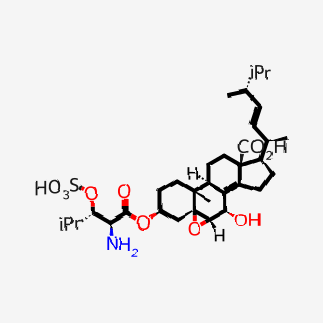 CC(C)[C@@H](C)/C=C/[C@@H](C)[C@H]1CCC2=C3[C@@H](O)[C@@H]4O[C@@]45C[C@@H](OC(=O)[C@@H](N)[C@@H](OS(=O)(=O)O)C(C)C)CC[C@]5(C)[C@H]3CC[C@@]21C(=O)O